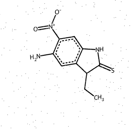 CCC1C(=S)Nc2cc([N+](=O)[O-])c(N)cc21